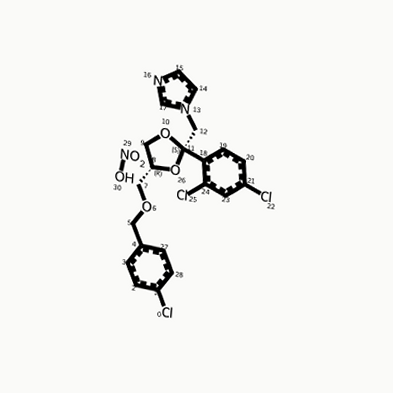 Clc1ccc(COC[C@@H]2CO[C@@](Cn3ccnc3)(c3ccc(Cl)cc3Cl)O2)cc1.O=[N+]([O-])O